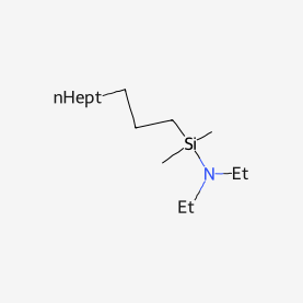 CCCCCCCCCC[Si](C)(C)N(CC)CC